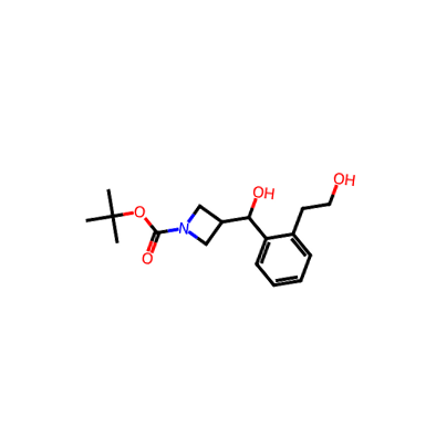 CC(C)(C)OC(=O)N1CC(C(O)c2ccccc2CCO)C1